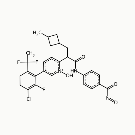 CC1CC(CC(C(=O)Nc2ccc(C(=O)N=O)cc2)c2ccc(C3=C(C(C)(F)F)CCC(Cl)=C3F)c[n+]2O)C1